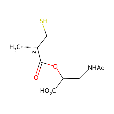 CC(=O)NCC(OC(=O)[C@H](C)CS)C(=O)O